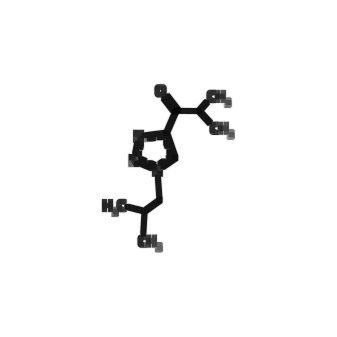 CC(C)Cn1cc(C(=O)C(C)C)nn1